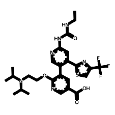 CCNC(=O)Nc1cc(-c2nc(C(F)(F)F)cs2)c(-c2cc(C(=O)O)cnc2OCCN(C(C)C)C(C)C)cn1